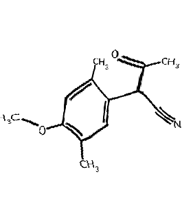 COc1cc(C)c(C(C#N)C(C)=O)cc1C